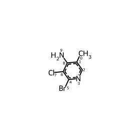 Cc1cnc(Br)c(Cl)c1N